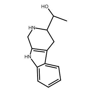 CC(O)C1Cc2c([nH]c3ccccc23)CN1